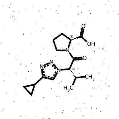 CC(C)[C@@H](C(=O)N1CCC[C@H]1C(=O)O)n1cc(C2CC2)nn1